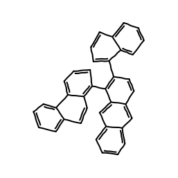 c1ccc2cc3c(-c4cccc5c4ccc4ccccc45)c(-c4cccc5ccccc45)ccc3cc2c1